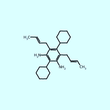 CC=CCc1c(N)c(C2CCCCC2)c(N)c(CC=CC)c1C1CCCCC1